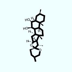 CC1CC[C@@]2(OC1)O[C@H]1C[C@H]3C4[C@@H](O)[C@H](O)[C@H]5C[C@@H](C)CC[C@]5(C)[C@H]4CC[C@]3(C)[C@H]1[C@@H]2C